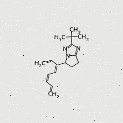 C=C/C=C\C=C(/C=C)C1CCc2nc(C(C)(C)C)nn21